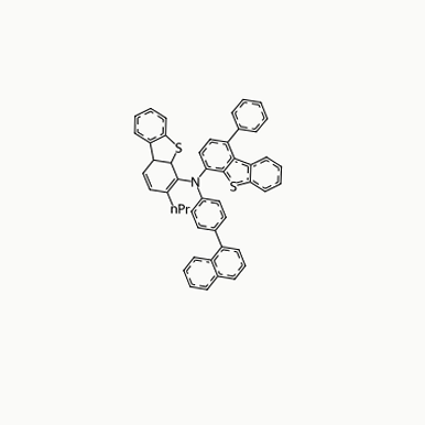 CCCC1=C(N(c2ccc(-c3cccc4ccccc34)cc2)c2ccc(-c3ccccc3)c3c2sc2ccccc23)C2Sc3ccccc3C2C=C1